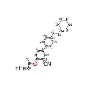 CCCCCC[C@@H](C)Oc1ccc(-c2ccc(CCC3CC[CH]CC3)cc2)cc1C#N